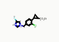 CCOC(=O)C1CC1c1ccc(Cn2cnc(F)c2)cc1Cl